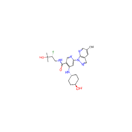 CC(C)(O)[C@H](F)CNC(=O)c1cnc(-n2ncc3cc(C#N)cnc32)cc1N[C@H]1CC[C@H](O)CC1